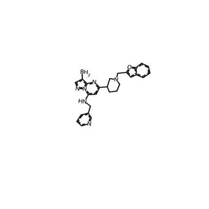 Bc1cnn2c(NCc3cccnc3)cc(C3CCCN(Cc4cc5ccccc5o4)C3)nc12